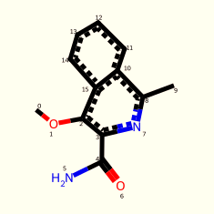 COc1c(C(N)=O)nc(C)c2ccccc12